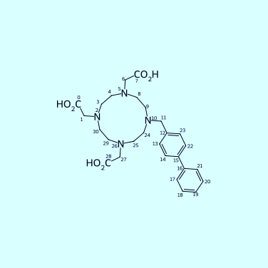 O=C(O)CN1CCN(CC(=O)O)CCN(Cc2ccc(-c3ccccc3)cc2)CCN(CC(=O)O)CC1